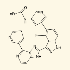 CCCC(=O)Nc1cncc(-c2ccc3[nH]nc(-c4nc5c(-c6cccnc6)nccc5[nH]4)c3c2F)c1